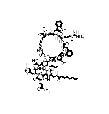 CCCCCCCC(=O)NCC(=O)N[C@@H](CO)C(=O)N[C@H](CCC(N)=O)C(=O)N[C@@H](Cc1c[nH]cn1)C(=O)N[C@H](C(=O)N[C@@H](CCCC)C(=O)N[C@H]1CCC(=O)NCCCC[C@@H](C(N)=O)NC(=O)[C@H](Cc2c[nH]c3ccccc23)NC(=O)[C@H](CCCNC(=N)N)NC(=O)[C@@H](Cc2ccccc2)NC(=O)[C@@H]2C[C@@H](O)CN2C1=O)C(C)O